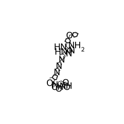 Cc1cc(N2CC(N3CC(N4CCC(Nc5ncnc(N)c5C(=N)c5ccc(Oc6ccccc6)cc5)CC4)C3)C2)ccc1C(=O)N(C=O)C1CCC(=O)NC1=O